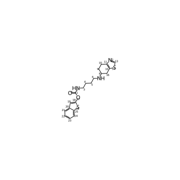 O=C(NCCCCNC1CCc2ncsc2C1)Oc1cc2ccccc2s1